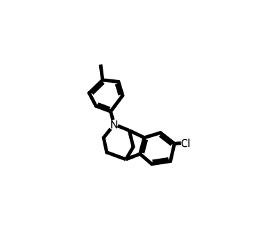 Cc1ccc(N2CCC3CC2c2cc(Cl)ccc23)cc1